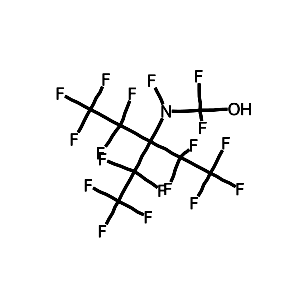 OC(F)(F)N(F)C(C(F)(F)C(F)(F)F)(C(F)(F)C(F)(F)F)C(F)(F)C(F)(F)F